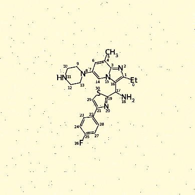 CCc1nc2c(C)cc(N3CCNCC3)cn2c1C(N)c1nc(-c2ccc(F)cc2)cs1